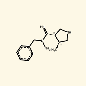 C[C@@H]1CNC[C@H]1C(=N)N(N)Cc1ccccc1